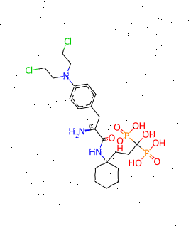 N[C@@H](Cc1ccc(N(CCCl)CCCl)cc1)C(=O)NC1(CCC(O)(P(=O)(O)O)P(=O)(O)O)CCCCC1